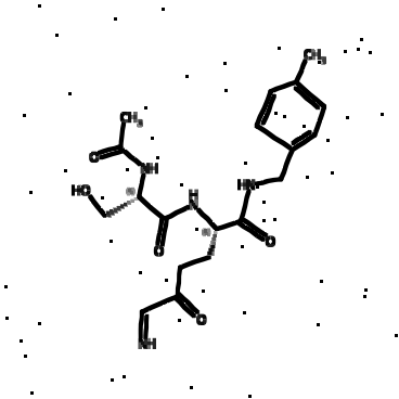 CC(=O)N[C@@H](CO)C(=O)N[C@@H](CCC(=O)C=N)C(=O)NCc1ccc(C)cc1